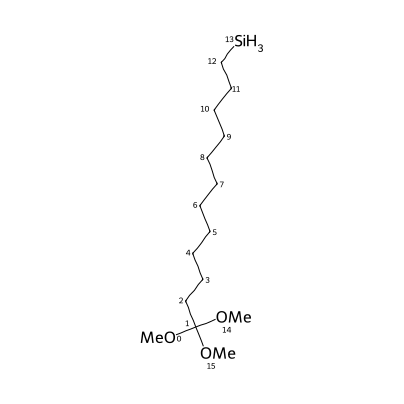 COC(CCCCCCCCCCC[SiH3])(OC)OC